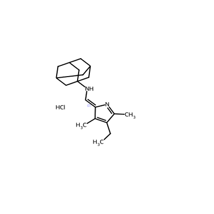 CCC1=C(C)/C(=C/NC23CC4CC(CC(C4)C2)C3)N=C1C.Cl